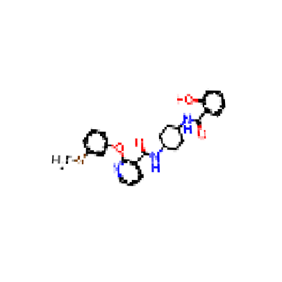 CSc1cccc(Oc2ncccc2C(=O)NC2CCC(NC(=O)c3ccccc3O)CC2)c1